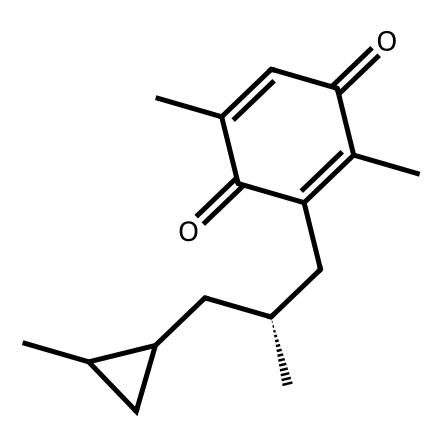 CC1=CC(=O)C(C)=C(C[C@H](C)CC2CC2C)C1=O